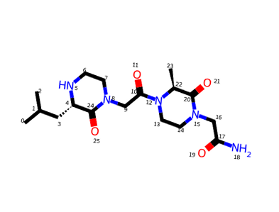 CC(C)C[C@@H]1NCCN(CC(=O)N2CCN(CC(N)=O)C(=O)[C@@H]2C)C1=O